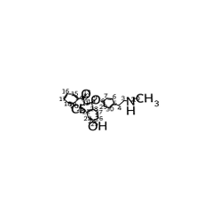 CCNCCc1ccc(Oc2c(C(=O)c3ccccc3Cl)sc3cc(O)ccc23)cc1